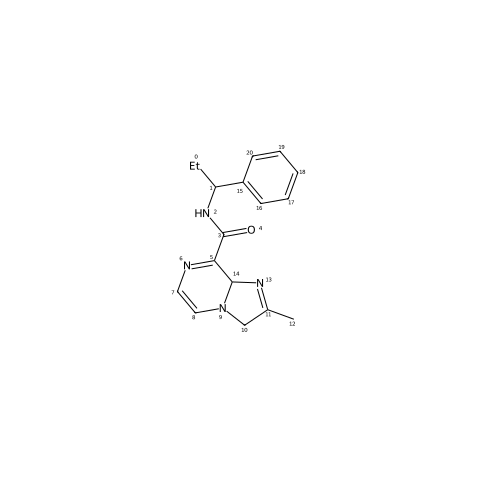 CCC(NC(=O)C1=NC=CN2CC(C)=NC12)c1ccccc1